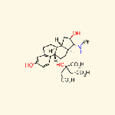 CC(C)N[C@H]1[C@H](O)C[C@H]2[C@@H]3CCc4cc(O)ccc4[C@H]3CC[C@@]21C.O=C(O)CC(O)(CC(=O)O)C(=O)O